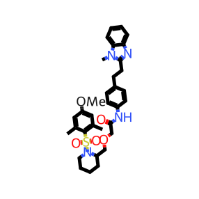 COc1cc(C)c(S(=O)(=O)N2CCCCC2COCC(=O)Nc2ccc(CCc3nc4ccccc4n3C)cc2)c(C)c1